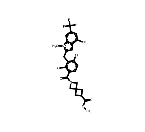 COC(=O)C1CC2(C1)CN(C(=O)c1ccc(Cl)c(Cc3cc4c(C)cc(C(F)(F)F)cc4n3C)c1Cl)C2